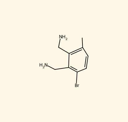 Cc1ccc(Br)c(CN)c1CN